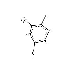 [CH2]c1cnc(Cl)nc1C(F)(F)F